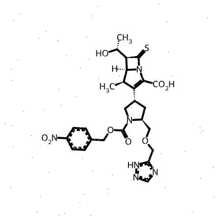 C[C@@H]1C([C@@H]2C[C@@H](COCc3ncn[nH]3)N(C(=O)OCc3ccc([N+](=O)[O-])cc3)C2)=C(C(=O)O)N2C(=S)[C@H]([C@@H](C)O)[C@H]12